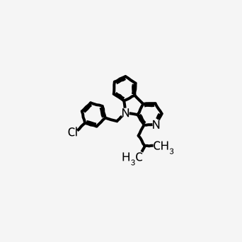 CC(C)Cc1nccc2c3ccccc3n(Cc3cccc(Cl)c3)c12